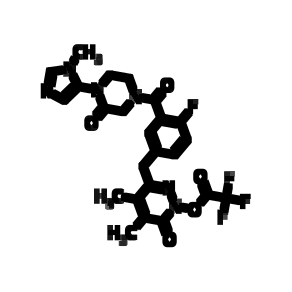 Cc1c(Cc2ccc(F)c(C(=O)N3CCN(c4cncn4C)C(=O)C3)c2)nn(OC(=O)C(F)(F)F)c(=O)c1C